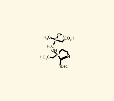 CCCCCCCCCCC1=NCC[N+]1(O)CC(=O)O.C[N+](C)(C)CC(=O)O